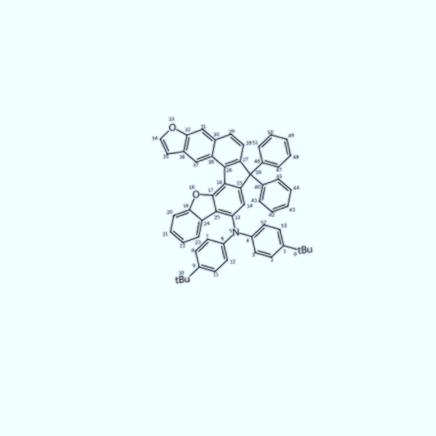 CC(C)(C)c1ccc(N(c2ccc(C(C)(C)C)cc2)c2cc3c(c4oc5ccccc5c24)-c2c(ccc4cc5occc5cc24)C3(c2ccccc2)c2ccccc2)cc1